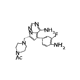 CC(=O)N1CCN(Cc2cc(-c3ccc(N)c(F)c3)c3c(N)ncnn23)CC1